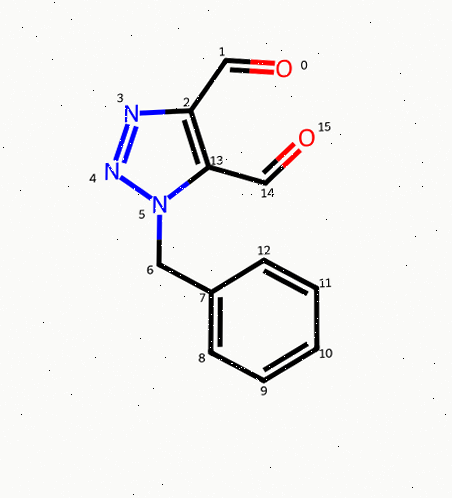 O=Cc1nnn(Cc2ccccc2)c1C=O